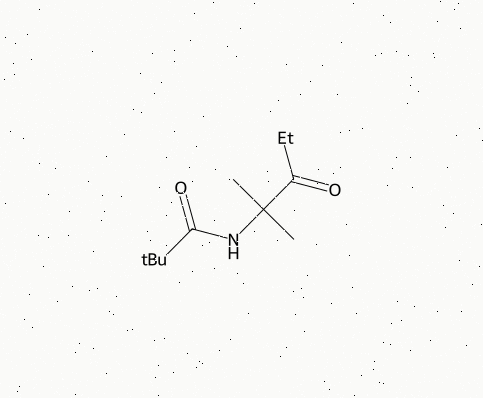 CCC(=O)C(C)(C)NC(=O)C(C)(C)C